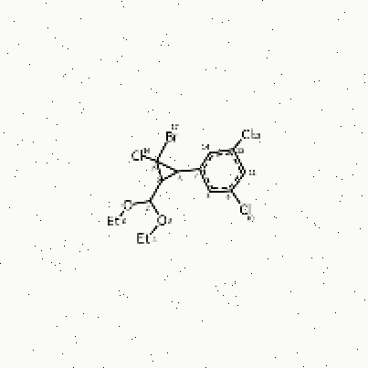 CCOC(OCC)C1C(c2cc(Cl)cc(Cl)c2)C1(Cl)Br